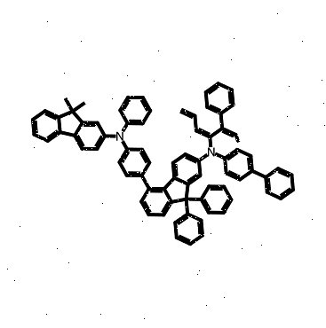 C=C/C=C(\C(=C/C)c1ccccc1)N(c1ccc(-c2ccccc2)cc1)c1ccc2c(c1)C(c1ccccc1)(c1ccccc1)c1cccc(-c3ccc(N(c4ccccc4)c4ccc5c(c4)C(C)(C)c4ccccc4-5)cc3)c1-2